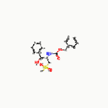 CS(=O)(=O)CC(NC(=O)OCc1ccccc1)C(O)c1ccccc1